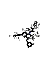 C=c1c(NS(C)(=O)=O)nn(C)/c1=C(\c1ccc(C#CC(C)(C)O)nc1[C@@H](N)Cc1cc(F)cc(F)c1)C(C)OC